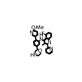 COc1ccc(-c2ccc(C3CNCCO3)cc2Nc2c(C)c(-c3ccccn3)nc3cccc(F)c23)cn1